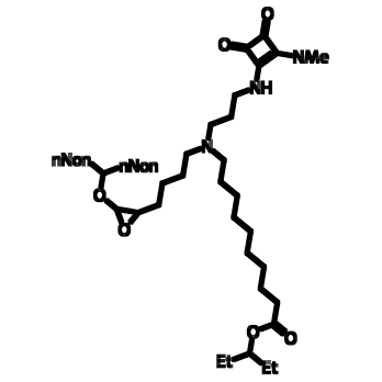 CCCCCCCCCC(CCCCCCCCC)OC1OC1CCCCN(CCCCCCCCCC(=O)OC(CC)CC)CCCNc1c(NC)c(=O)c1=O